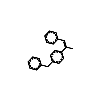 CC(=Cc1ccccc1)c1ccc(Cc2ccccc2)cc1